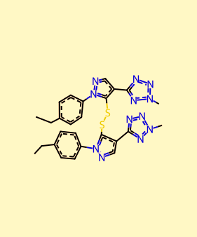 CCc1ccc(-n2ncc(-c3nnn(C)n3)c2SSc2c(-c3nnn(C)n3)cnn2-c2ccc(CC)cc2)cc1